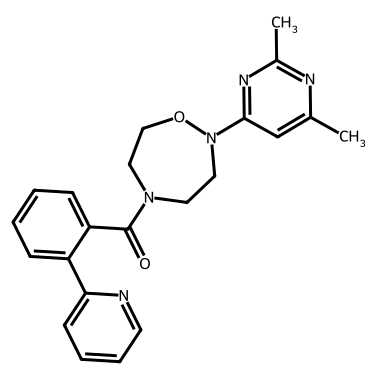 Cc1cc(N2CCN(C(=O)c3ccccc3-c3ccccn3)CCO2)nc(C)n1